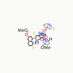 CCc1c(F)ccc2cc(OCOC)cc(-c3ncc4c(N5C[C@@H]6CC[C@](COC)(C5)N6C(=O)OC(C)(C)C)nc(OC[C@@]56CCCN5C[C@H](F)C6)nc4c3F)c12